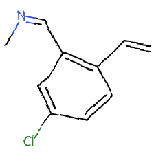 C=Cc1ccc(Cl)cc1/C=N\C